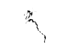 CCCCCCCCCCCCCCCCCC(=O)OC(C(=O)OC)C(O)(CC(=O)O)C(=O)O